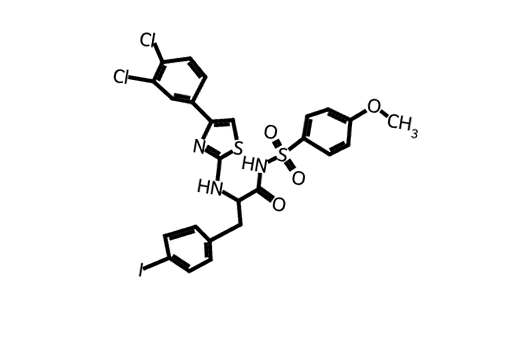 COc1ccc(S(=O)(=O)NC(=O)C(Cc2ccc(I)cc2)Nc2nc(-c3ccc(Cl)c(Cl)c3)cs2)cc1